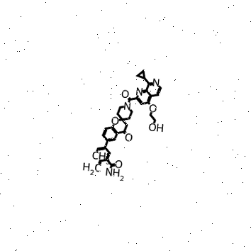 C=C/C(=C\C(=C/C)c1ccc2c(c1)C(=O)CC1(CCN(C(=O)c3cc(OCCO)c4ccnc(C5CC5)c4n3)CC1)O2)C(N)=O